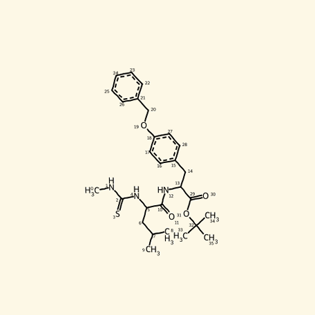 CNC(=S)NC(CC(C)C)C(=O)NC(Cc1ccc(OCc2ccccc2)cc1)C(=O)OC(C)(C)C